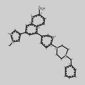 Cn1cc(-c2cc(-c3ccc(N4CCN(Cc5ccccc5)CC4)nc3)c3ccc(C(=O)O)nc3c2)cn1